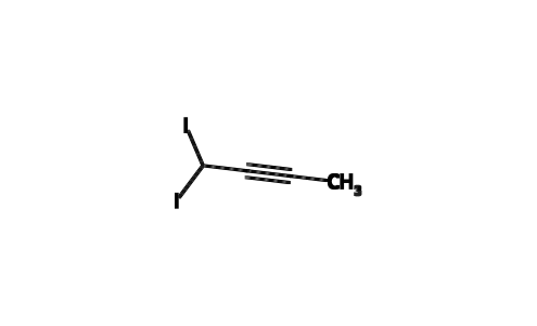 CC#CC(I)I